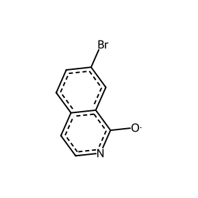 [O]c1nccc2ccc(Br)cc12